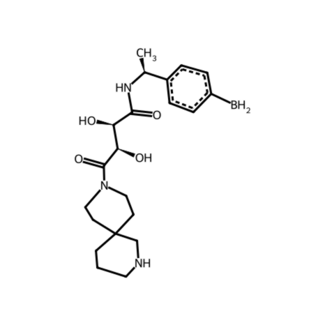 Bc1ccc([C@H](C)NC(=O)[C@H](O)[C@@H](O)C(=O)N2CCC3(CCCNC3)CC2)cc1